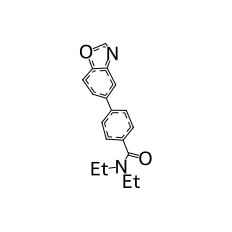 CCN(CC)C(=O)c1ccc(-c2ccc3ocnc3c2)cc1